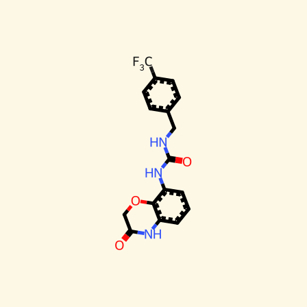 O=C1COc2c(cccc2NC(=O)NCc2ccc(C(F)(F)F)cc2)N1